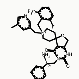 Cc1cncc(C[N+]2(Cc3c(F)cccc3C(F)(F)F)CCC3(CC2)OCc2[nH]c(=O)n(C[C@H](N)c4ccccc4)c(=O)c23)c1